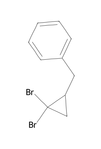 BrC1(Br)CC1Cc1ccccc1